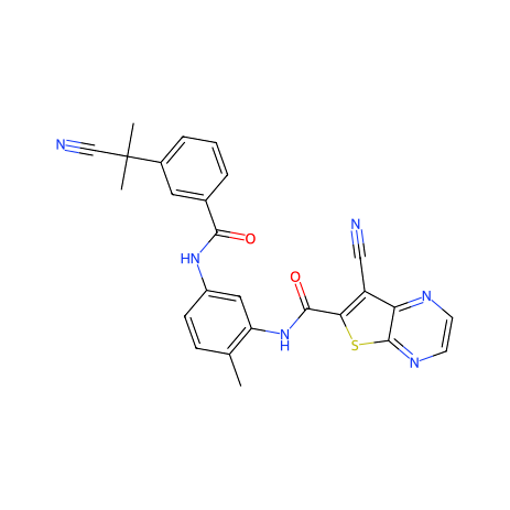 Cc1ccc(NC(=O)c2cccc(C(C)(C)C#N)c2)cc1NC(=O)c1sc2nccnc2c1C#N